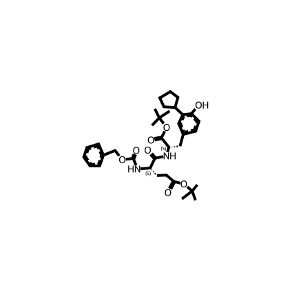 CC(C)(C)OC(=O)CC[C@H](NC(=O)OCc1ccccc1)C(=O)N[C@@H](Cc1ccc(O)c(C2CCCC2)c1)C(=O)OC(C)(C)C